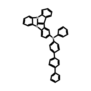 c1ccc(-c2ccc(-c3ccc(N(c4ccccc4)c4ccc5c(c4)c4c6ccccc6n6c7ccccc7n5c46)cc3)cc2)cc1